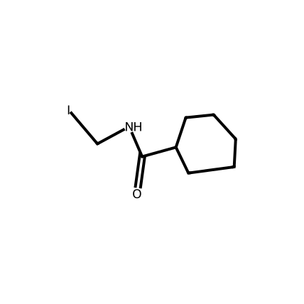 O=C(NCI)C1CCCCC1